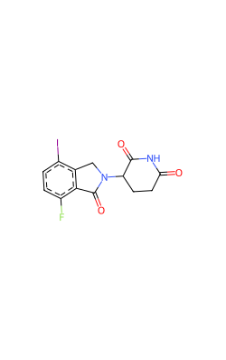 O=C1CCC(N2Cc3c(I)ccc(F)c3C2=O)C(=O)N1